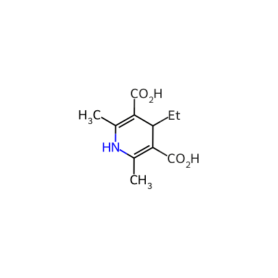 CCC1C(C(=O)O)=C(C)NC(C)=C1C(=O)O